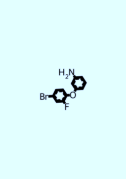 Nc1cccc(Oc2ccc(Br)cc2F)c1